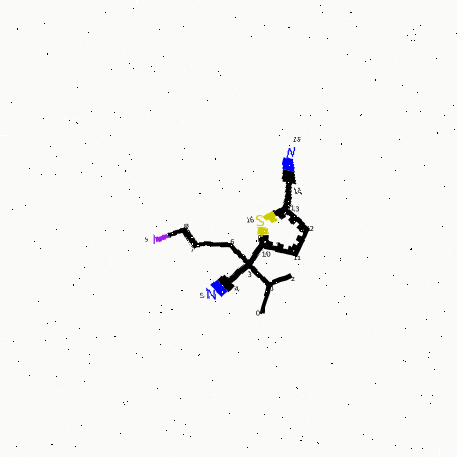 CC(C)C(C#N)(CCCI)c1ccc(C#N)s1